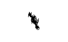 COc1cc2c(Nc3c(Cl)cc(C#Cc4cnccn4)c4c3OCO4)ncnc2cc1OCCCN1CCOCC1